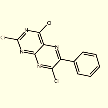 Clc1nc(Cl)c2nc(-c3ccccc3)c(Cl)nc2n1